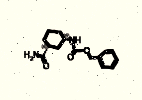 NC(=O)[C@@H]1CCC[C@H](NC(=O)OCc2ccccc2)C1